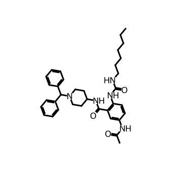 CCCCCCCNC(=O)Nc1ccc(NC(C)=O)cc1C(=O)NC1CCN(C(c2ccccc2)c2ccccc2)CC1